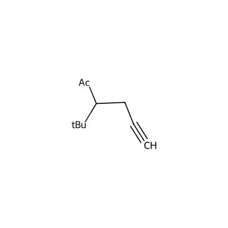 C#CCC(C(C)=O)C(C)(C)C